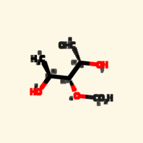 C[C@H](O)[C@@H](OC(=O)O)[C@@H](O)C=O